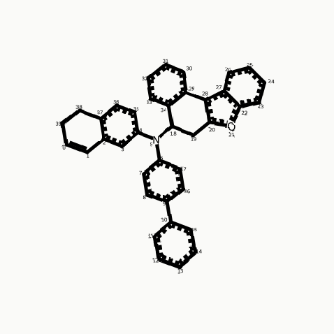 C1=Cc2cc(N(c3ccc(-c4ccccc4)cc3)C3Cc4oc5ccccc5c4-c4ccccc43)ccc2CC1